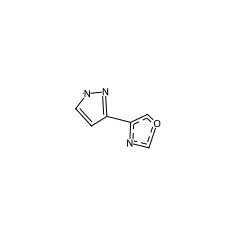 C1=CC(c2cocn2)=N[N]1